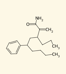 C=C(C(N)=O)C(CCC)CC(CCCC)c1ccccc1